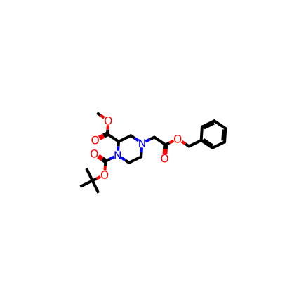 COC(=O)C1CN(CC(=O)OCc2ccccc2)CCN1C(=O)OC(C)(C)C